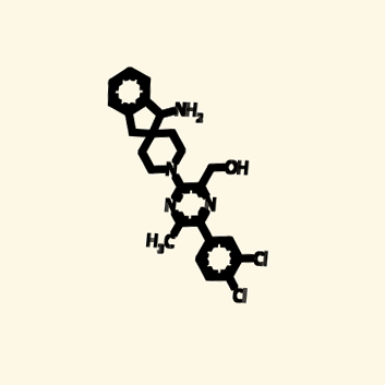 Cc1nc(N2CCC3(CC2)Cc2ccccc2C3N)c(CO)nc1-c1ccc(Cl)c(Cl)c1